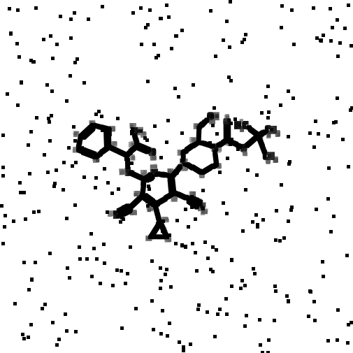 CC(C)(C)OC(=O)N1CCN(c2nc(SC(C(N)=O)c3ccccc3)c(C#N)c(C3CC3)c2C#N)CC1CO